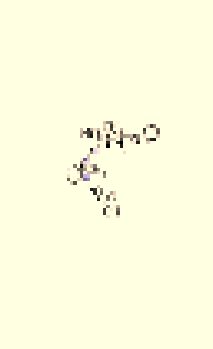 CC(C)(CCCOc1ccccc1)[C@@H](O)/C=C/C=C/[C@]1(C)CCCC/C1=C\COCC(=O)O